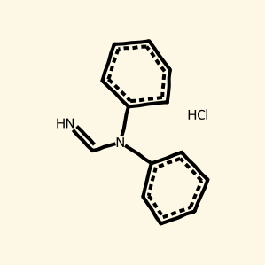 Cl.N=CN(c1ccccc1)c1ccccc1